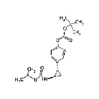 CC(C)OC(=O)N[C@@H]1C[C@H]1c1ccc(OC(=O)OC(C)(C)C)cc1